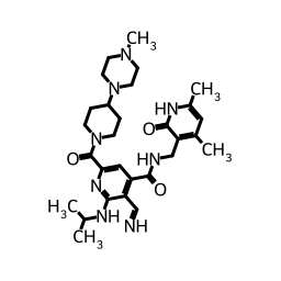 Cc1cc(C)c(CNC(=O)c2cc(C(=O)N3CCC(N4CCN(C)CC4)CC3)nc(NC(C)C)c2C=N)c(=O)[nH]1